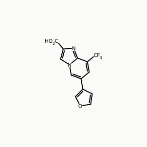 O=C(O)c1cn2cc(-c3ccoc3)cc(C(F)(F)F)c2n1